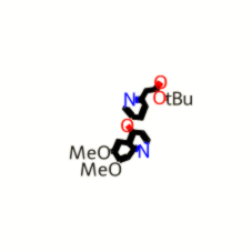 COc1cc2nccc(Oc3ccc(CC(=O)OC(C)(C)C)nc3)c2cc1OC